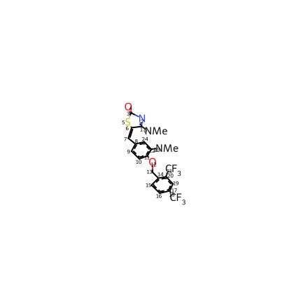 CNC1=NC(=O)SC1=Cc1ccc(OCc2ccc(C(F)(F)F)cc2C(F)(F)F)c(NC)c1